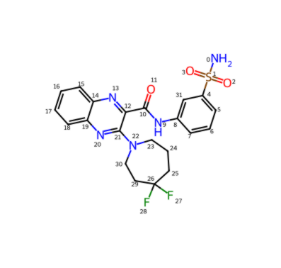 NS(=O)(=O)c1cccc(NC(=O)c2nc3ccccc3nc2N2CCCC(F)(F)CC2)c1